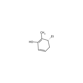 CC[C@@H]1CC=CC(O)=C1C